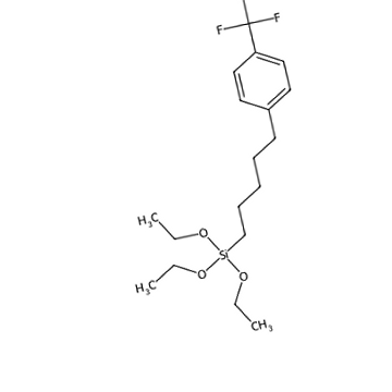 CCO[Si](CCCCCc1ccc(C(F)(F)F)cc1)(OCC)OCC